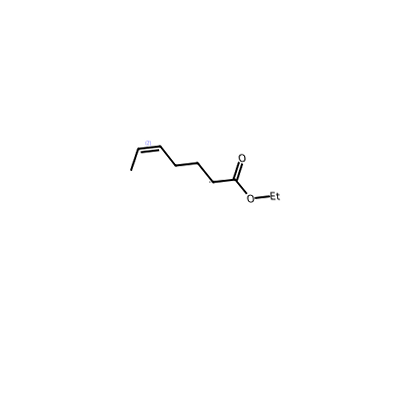 C/C=C\CC[CH]C(=O)OCC